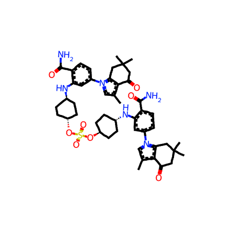 Cc1cn(-c2ccc(C(N)=O)c(N[C@H]3CC[C@H](OS(=O)(=O)O[C@H]4CC[C@H](Nc5cc(-n6cc(C)c7c6CC(C)(C)CC7=O)ccc5C(N)=O)CC4)CC3)c2)c2c1C(=O)CC(C)(C)C2